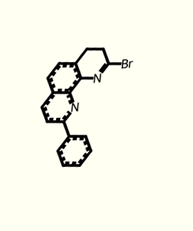 BrC1=Nc2c(ccc3ccc(-c4ccccc4)nc23)CC1